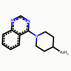 [AsH2]C1CCN(c2ncnc3ccccc23)CC1